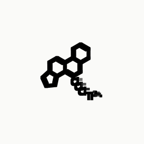 C1=CCc2ccc3c4c(ccc3c2=C1)C=CC=4.[Cl-].[Cl-].[Cl-].[Ti+3]